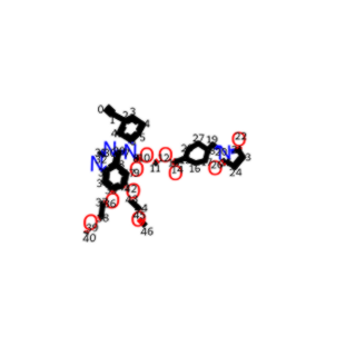 C#Cc1cccc(N(C(=O)OCOC(=O)C2CCC(CN3C(=O)C=CC3=O)CC2)c2ncnc3cc(OCCOC)c(OCCOC)cc23)c1